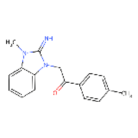 Cc1ccc(C(=O)Cn2c(=N)n(C)c3ccccc32)cc1